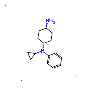 N[C@H]1CC[C@H](N(c2ccccc2)C2CC2)CC1